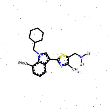 CCN(CC)Cc1sc(-c2cn(CC3CCCCC3)c3c(OC)cccc23)nc1C